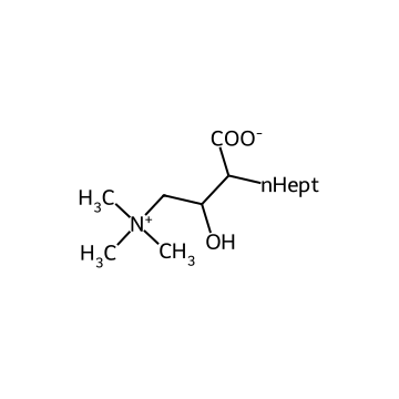 CCCCCCCC(C(=O)[O-])C(O)C[N+](C)(C)C